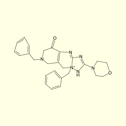 O=C1CN(Cc2ccccc2)CC2=C1N=C1N=C(N3CCOCC3)N[N+]1(Cc1ccccc1)C2